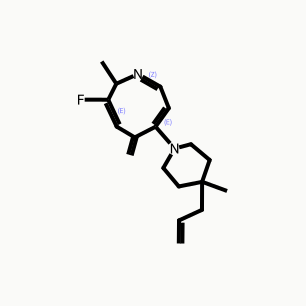 C=CCC1(C)CCN(/C2=C/C=N\C(C)/C(F)=C\C2=C)CC1